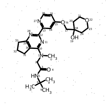 CN(CC(=O)NC(C)(C)C)c1nc(-c2cc(OCC3(O)CCOCC3)ccn2)nc2c1CCC2